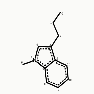 CCCc1cn(C)c2ccccc12